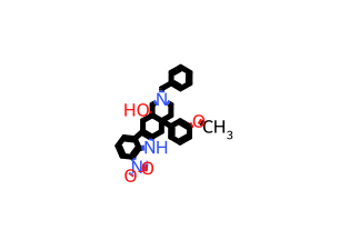 COc1cccc(C23CCN(Cc4ccccc4)CC2(O)Cc2c([nH]c4c([N+](=O)[O-])cccc24)C3)c1